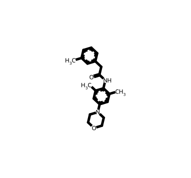 Cc1cccc(CC(=O)Nc2c(C)cc(N3CCOCC3)cc2C)c1